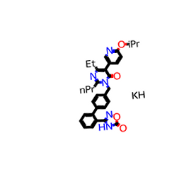 CCCc1nc(CC)c(-c2ccc(OC(C)C)nc2)c(=O)n1Cc1ccc(-c2ccccc2-c2noc(=O)[nH]2)cc1.[KH]